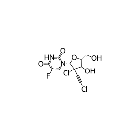 O=c1[nH]c(=O)n([C@@H]2O[C@H](CO)C(O)C2(Cl)C#CCl)cc1F